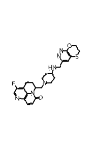 O=c1ccc2ncc(F)c3c2n1C(CN1CCC(NCc2cc4c(nn2)OCCS4)CC1)CC3